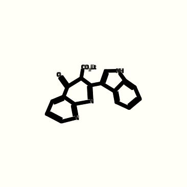 CCOC(=O)C1C(=O)c2cccnc2N=C1c1c[nH]c2ccccc12